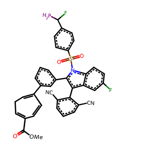 COC(=O)C1=CCC=C(c2cccc(-c3c(-c4c(C#N)cccc4C#N)c4cc(F)ccc4n3S(=O)(=O)c3ccc(C(F)P)cc3)c2)C=C1